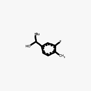 Cc1ccc(C(O)C(C)(C)C)cc1F